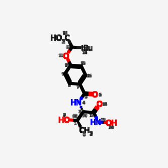 C[C@@H](O)[C@H](NC(=O)c1ccc(OC(C(=O)O)C(C)(C)C)cc1)C(=O)NO